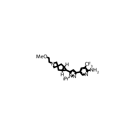 COCCN1CC2(C[C@@H]3C(c4cc(-c5cnc(N)c(C(F)(F)F)c5)nn4C(C)C)[C@@H]3C2)C1